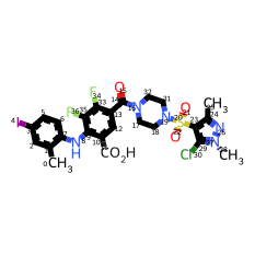 Cc1cc(I)ccc1Nc1c(C(=O)O)cc(C(=O)N2CCN(S(=O)(=O)c3c(C)nn(C)c3Cl)CC2)c(F)c1F